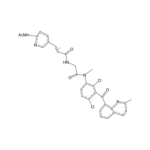 CC(=O)Nc1ccc(/C=C/C(=O)NCC(=O)N(C)c2ccc(Cl)c(C(=O)c3cccc4ccc(C)nc34)c2Cl)cn1